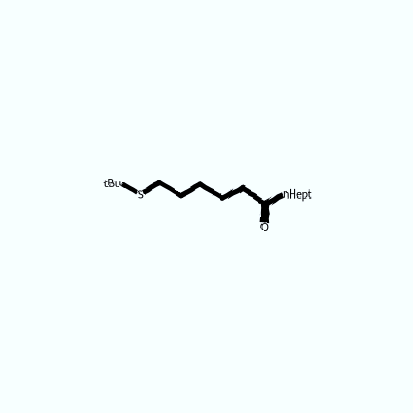 CCCCCCCC(=O)CCCCCSC(C)(C)C